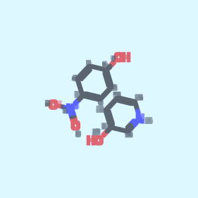 O=[N+]([O-])c1ccc(O)cc1.Oc1cccnc1